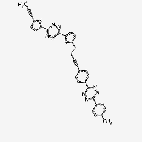 CC#Cc1ccc(-c2nnc(-c3ccc(CCC#Cc4ccc(-c5nnc(-c6ccc(C)cc6)nn5)cc4)s3)nn2)s1